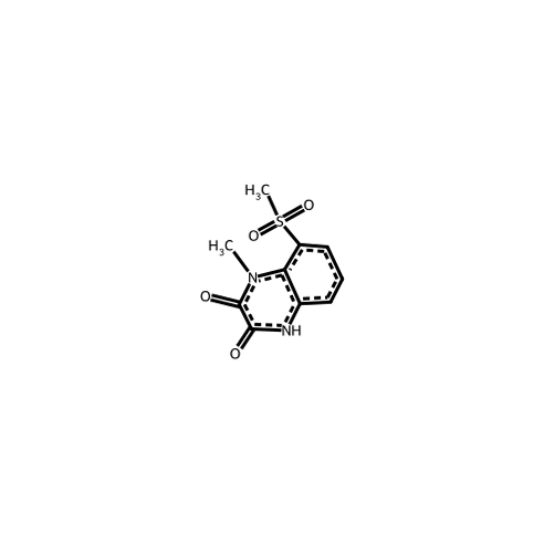 Cn1c(=O)c(=O)[nH]c2cccc(S(C)(=O)=O)c21